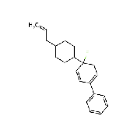 C=CCC1CCC(C2(F)C=CC(c3ccccc3)=CC2)CC1